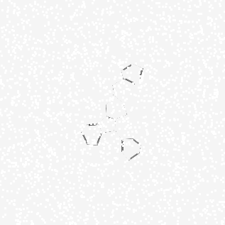 c1ccc(CN2CCc3c(c4ccccc4n3-c3ccccc3)C2)cc1